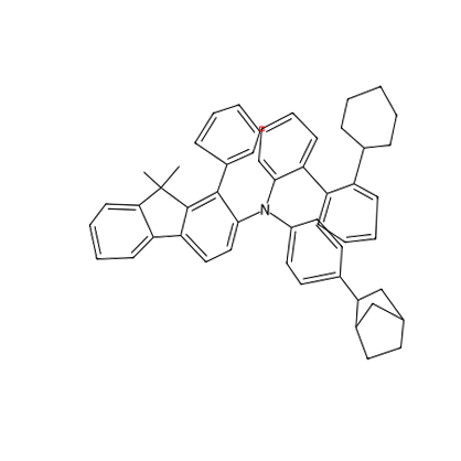 CC1(C)c2ccccc2-c2ccc(N(c3ccc(C4CC5CCC4C5)cc3)c3ccccc3-c3ccccc3C3CCCCC3)c(-c3ccccc3)c21